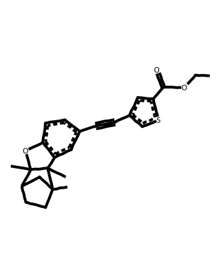 CCOC(=O)c1cc(C#Cc2ccc3c(c2)C2(C)C4(C)CCC(C4)C2(C)O3)cs1